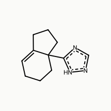 C1=C2CCCC2(c2ncn[nH]2)CCC1